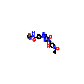 O=C(Nc1nccs1)c1ccc(-n2ncc3c(=O)n(CC4(O)CCN(C(=O)C5CC5)CC4)cnc32)cc1